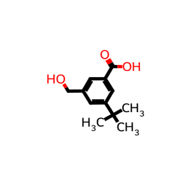 CC(C)(C)c1cc(CO)cc(C(=O)O)c1